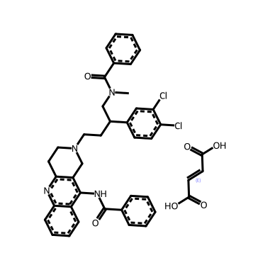 CN(CC(CCN1CCc2nc3ccccc3c(NC(=O)c3ccccc3)c2C1)c1ccc(Cl)c(Cl)c1)C(=O)c1ccccc1.O=C(O)/C=C/C(=O)O